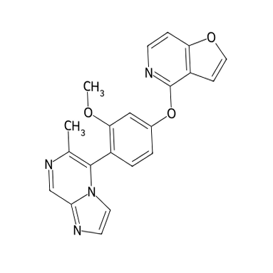 COc1cc(Oc2nccc3occc23)ccc1-c1c(C)ncc2nccn12